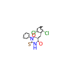 O=C1NC(=S)N(c2ccccc2)C(=O)/C1=C\c1c(Cl)cccc1Cl